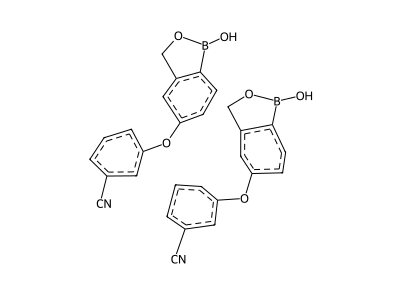 N#Cc1cccc(Oc2ccc3c(c2)COB3O)c1.N#Cc1cccc(Oc2ccc3c(c2)COB3O)c1